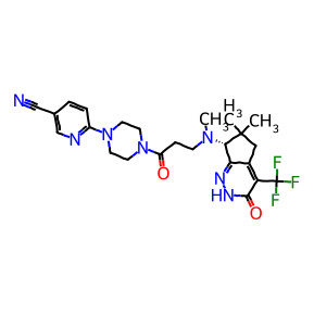 CN(CCC(=O)N1CCN(c2ccc(C#N)cn2)CC1)[C@H]1c2n[nH]c(=O)c(C(F)(F)F)c2CC1(C)C